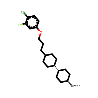 CCCCC[C@H]1CC[C@H](C2CCC(CCCOc3ccc(Cl)c(F)c3)CC2)CC1